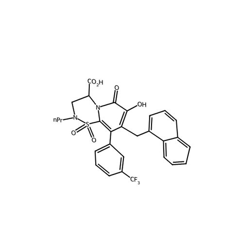 CCCN1CC(C(=O)O)n2c(c(-c3cccc(C(F)(F)F)c3)c(Cc3cccc4ccccc34)c(O)c2=O)S1(=O)=O